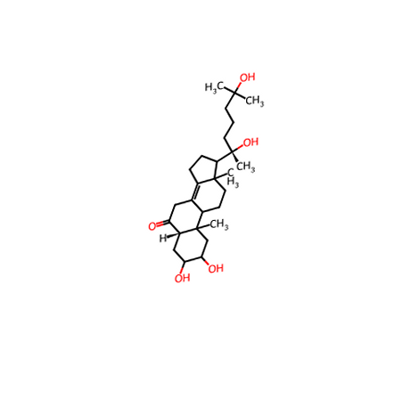 CC(C)(O)CCC[C@](C)(O)C1CCC2=C3CC(=O)[C@H]4CC(O)C(O)CC4(C)C3CCC21C